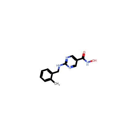 Cc1ccccc1CNc1ncc(C(=O)NO)cn1